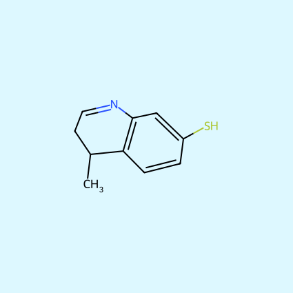 CC1CC=Nc2cc(S)ccc21